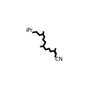 CC(=CCC#N)CCCC(C)CCCC(C)CCCC(C)C